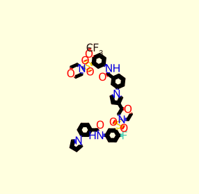 O=C(Nc1ccc(F)c(S(=O)(=O)N2CCOC(c3ccn(-c4cccc(C(=O)Nc5ccc(OC(F)(F)F)c(S(=O)(=O)N6CCOCC6)c5)c4)c3)C2)c1)c1cccc(-n2cccc2)c1